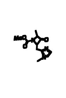 COC(=O)N1C(C)C(=O)C1Cc1nccn1C